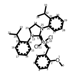 COc1ccccc1[CH]=[Ru]([Cl])([Cl])=[C]1N(c2ccccc2C(C)C)CCN1c1ccccc1C(C)C